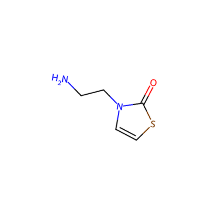 NCCn1ccsc1=O